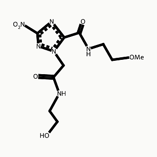 COCCNC(=O)c1nc([N+](=O)[O-])nn1CC(=O)NCCO